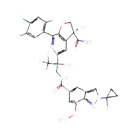 COc1cc(C(=O)NCC(O)(c2cc3c(c(-c4cc(Cl)c(F)cc4F)n2)OC[C@]3(C)C(N)=O)C(F)(F)F)cc2cn(C3(F)CC3)nc12